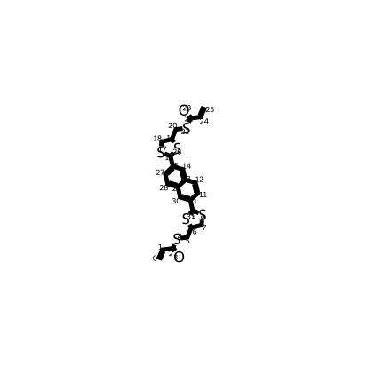 C=CC(=O)SCC1CSC(c2ccc3cc(C4SCC(CSC(=O)C=C)S4)ccc3c2)S1